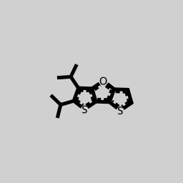 CC(C)c1sc2c(oc3ccsc32)c1C(C)C